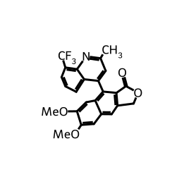 COc1cc2cc3c(c(-c4cc(C)nc5c(C(F)(F)F)cccc45)c2cc1OC)C(=O)OC3